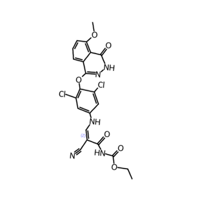 CCOC(=O)NC(=O)/C(C#N)=C\Nc1cc(Cl)c(Oc2n[nH]c(=O)c3c(OC)cccc23)c(Cl)c1